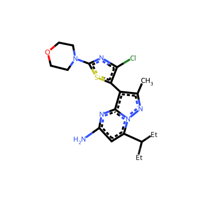 CCC(CC)c1cc(N)nc2c(-c3sc(N4CCOCC4)nc3Cl)c(C)nn12